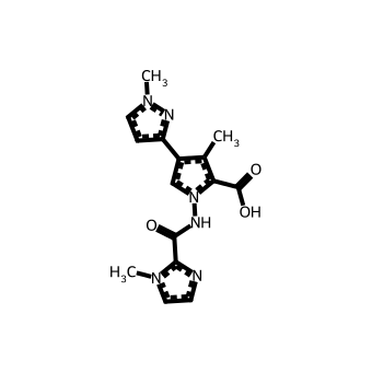 Cc1c(-c2ccn(C)n2)cn(NC(=O)c2nccn2C)c1C(=O)O